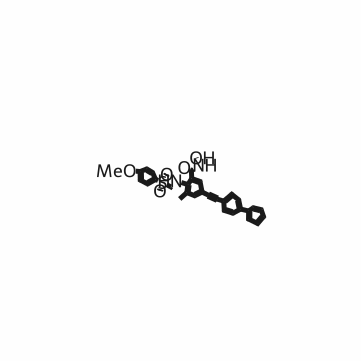 COc1ccc(S(=O)(=O)CNc2c(C)cc(C#Cc3ccc(-c4ccccc4)cc3)cc2C(=O)NO)cc1